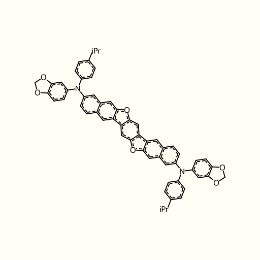 CC(C)c1ccc(N(c2ccc3c(c2)OCO3)c2ccc3cc4c(cc3c2)oc2cc3c(cc24)oc2cc4cc(N(c5ccc(C(C)C)cc5)c5ccc6c(c5)OCO6)ccc4cc23)cc1